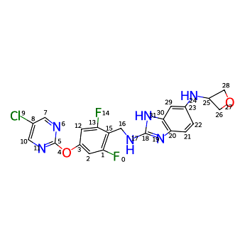 Fc1cc(Oc2ncc(Cl)cn2)cc(F)c1CNc1nc2ccc(NC3COC3)cc2[nH]1